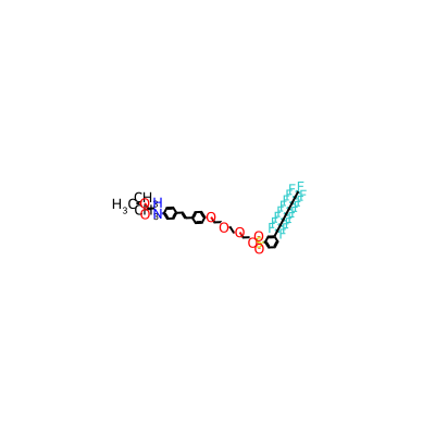 CC(C)(C)OC(=O)CNc1ccc(/C=C/c2ccc(OCCOCCOCCOS(=O)(=O)c3cccc(C(F)(F)C(F)(F)C(F)(F)C(F)(F)C(F)(F)C(F)(F)C(F)(F)C(F)(F)F)c3)cc2)cc1